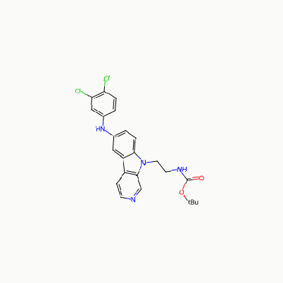 CC(C)(C)OC(=O)NCCn1c2ccc(Nc3ccc(Cl)c(Cl)c3)cc2c2ccncc21